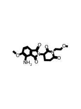 COCCN1C(=O)CCC(N2C(=O)c3ccc(OC)c(N)c3C2=O)C1=O